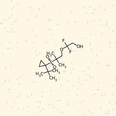 CC(C)(C)C1(S(=O)(=O)C(C)(C)COC(F)(F)CO)CC1